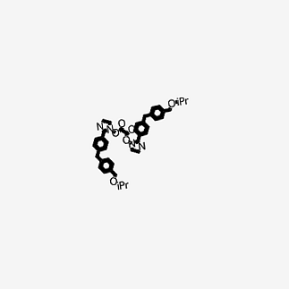 CC(C)OCc1ccc(Cc2ccc(C3=NCCN3OC(=O)C(=O)ON3CCN=C3c3ccc(Cc4ccc(COC(C)C)cc4)cc3)cc2)cc1